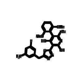 CCCCc1nc(O)c(-c2nnc(Cc3cc(F)cc(C(F)(F)F)c3)o2)c(O)c1-c1c(OC)cccc1OC